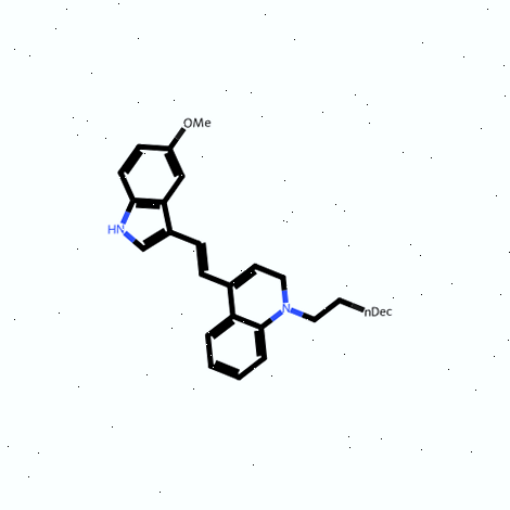 CCCCCCCCCCCCN1CC=C(C=Cc2c[nH]c3ccc(OC)cc23)c2ccccc21